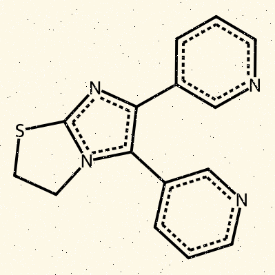 c1cncc(-c2nc3n(c2-c2cccnc2)CCS3)c1